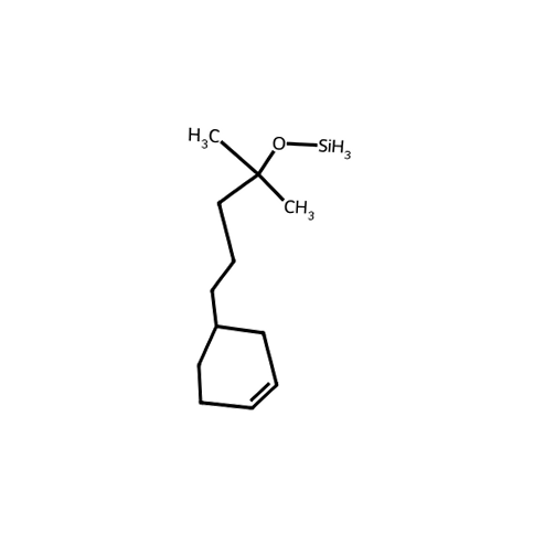 CC(C)(CCCC1CC=CCC1)O[SiH3]